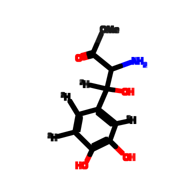 [2H]c1c([2H])c(C([2H])(O)C(N)C(=O)OC)c([2H])c(O)c1O